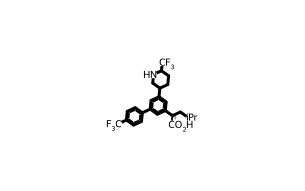 CC(C)C[C@@H](C(=O)O)c1cc(-c2ccc(C(F)(F)F)cc2)cc(C2CCC(C(F)(F)F)NC2)c1